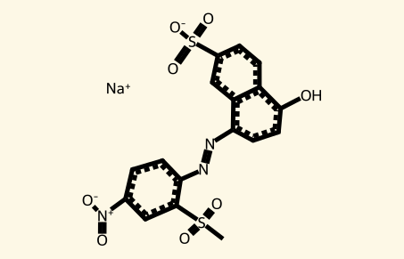 CS(=O)(=O)c1cc([N+](=O)[O-])ccc1/N=N/c1ccc(O)c2ccc(S(=O)(=O)[O-])cc12.[Na+]